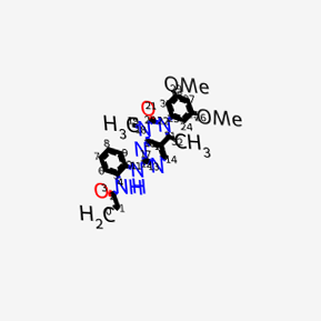 C=CC(=O)Nc1ccccc1Nc1ncc2c(n1)N(C)C(=O)N(c1cc(OC)cc(OC)c1)C2C